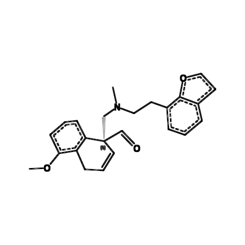 COc1cccc2c1CC=C[C@@]2(C=O)CN(C)CCc1cccc2ccoc12